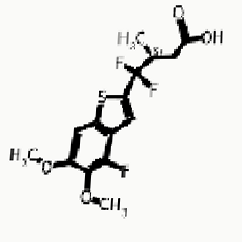 COc1cc2sc(C(F)(F)[C@@H](C)CC(=O)O)cc2c(F)c1OC